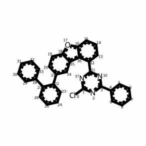 Clc1nc(-c2ccccc2)nc(-c2cccc3oc4ccc(-c5ccccc5-c5ccccc5)cc4c23)n1